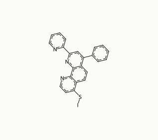 ISc1ccnc2c1ccc1c(-c3ccccc3)cc(-c3ccccn3)nc12